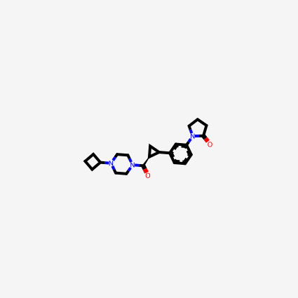 O=C([C@H]1CC1c1cccc(N2CCCC2=O)c1)N1CCN(C2CCC2)CC1